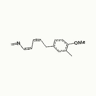 C=N/C=C\C=C/Cc1ccc(OC)c(C)c1